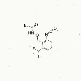 CCC(=O)NOCc1c(N=C=O)cccc1C(F)F